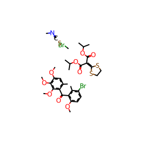 CBr.CC(C)OC(=O)C(C(=O)OC(C)C)=C1SCCS1.CN=C=S.COc1cc(C)c(C(=O)c2c(OC)ccc(Br)c2C)c(OC)c1OC